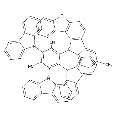 Cc1ccc2c(c1)c1ccc3oc4ccccc4c3c1n2-c1c(C#N)c(-n2c3ccccc3c3ccccc32)c(C#N)c(-n2c3ccccc3c3ccccc32)c1-n1c2ccccc2c2ccccc21